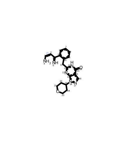 N=C(/C=C\N)c1ccccc1Cc1nc2c(cnn2C2CCOCC2)c(=O)[nH]1